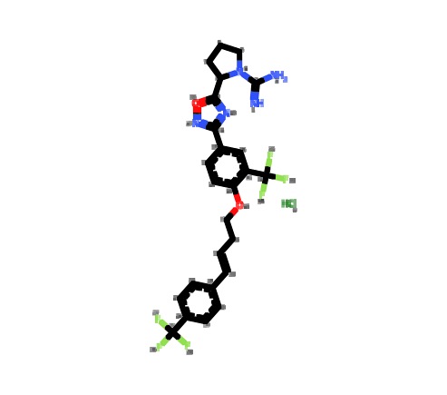 Cl.N=C(N)N1CCCC1c1nc(-c2ccc(OCCC=Cc3ccc(C(F)(F)F)cc3)c(C(F)(F)F)c2)no1